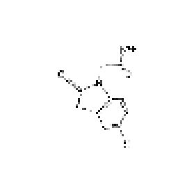 [NH]C(=O)CN1C(=O)Cc2cc(Cl)ccc21